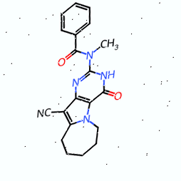 CN(C(=O)c1ccccc1)c1nc2c(C#N)c3n(c2c(=O)[nH]1)CCCCC3